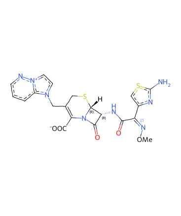 CO/N=C(\C(=O)N[C@@H]1C(=O)N2C(C(=O)[O-])=C(Cn3cc[n+]4ncccc34)CS[C@H]12)c1csc(N)n1